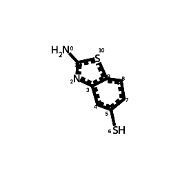 Nc1nc2cc(S)ccc2s1